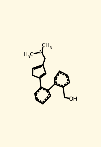 CN(C)CC1=CCC(c2ccccc2-c2ccccc2CO)=C1